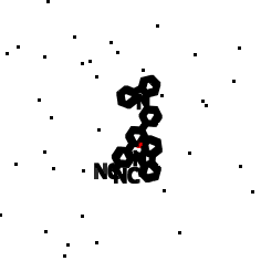 N#Cc1ccc(-c2ccc(C3C=CC=C(n4c5ccccc5c5ccccc54)C3)cc2)c(-n2c3ccccc3c3cccc(C#N)c32)c1